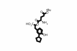 CC(C)(C)OC(=O)CC[C@H](N)C(=O)OC(Cc1ccc(O)c(C2CCCC2)c1)C(=O)O